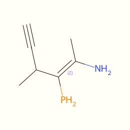 C#CC(C)/C(P)=C(\C)N